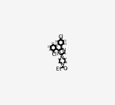 CCC(=O)N1CCN(c2cnc(-c3ccc(Cl)cc3)c(-c3ccccc3Cl)n2)CC1